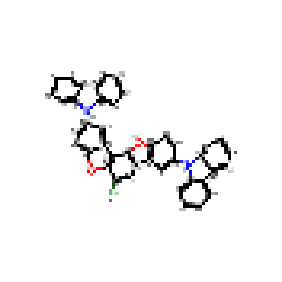 Brc1cc2c3cc(-n4c5ccccc5c5ccccc54)ccc3oc2c2c1oc1ccc(-n3c4ccccc4c4ccccc43)cc12